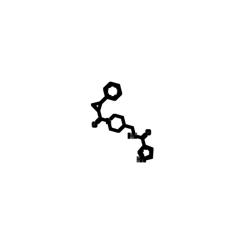 O=C(NCC1CCN(C(=O)C2CC2c2ccccc2)CC1)c1cc[nH]c1